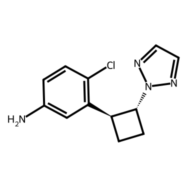 Nc1ccc(Cl)c([C@@H]2CC[C@H]2n2nccn2)c1